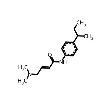 CCC(C)c1ccc(NC(=O)/C=C/CN(C)C)cc1